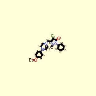 CCOc1ccc(N2CCN(Cc3c(Cl)c(=O)n(-c4ccccc4)n3C)CC2)cc1